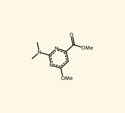 COC(=O)c1cc(OC)nc(N(C)C)n1